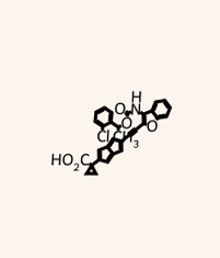 CC(OC(=O)Nc1c(C#CC2=CC3=CC(C4(C(=O)O)CC4)=CC3=C2)oc2ccccc12)c1ccccc1Cl